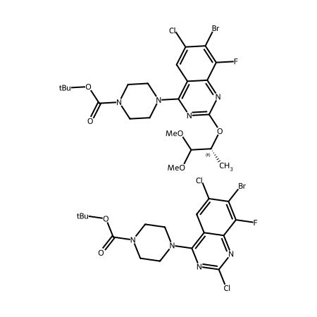 CC(C)(C)OC(=O)N1CCN(c2nc(Cl)nc3c(F)c(Br)c(Cl)cc23)CC1.COC(OC)[C@@H](C)Oc1nc(N2CCN(C(=O)OC(C)(C)C)CC2)c2cc(Cl)c(Br)c(F)c2n1